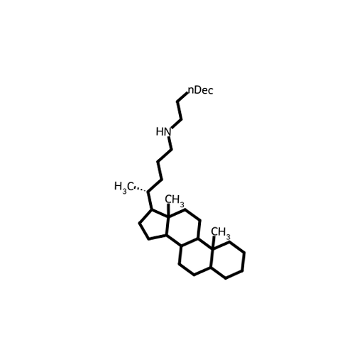 CCCCCCCCCCCCNCCC[C@@H](C)C1CCC2C3CCC4CCCCC4(C)C3CCC21C